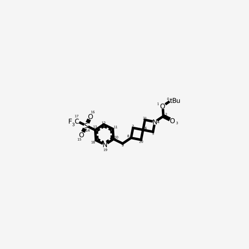 CC(C)(C)OC(=O)N1CC2(CC(Cc3ccc(S(=O)(=O)C(F)(F)F)cn3)C2)C1